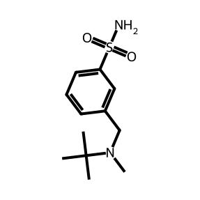 CN(Cc1cccc(S(N)(=O)=O)c1)C(C)(C)C